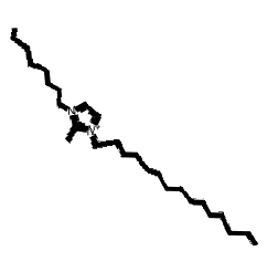 CCCCCCCCCCCCCCC[n+]1ccn(CCCCCCCC)c1C